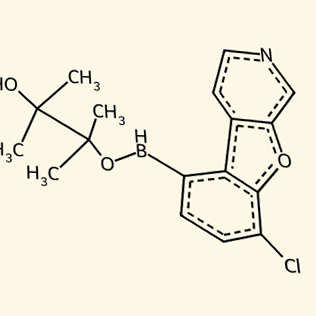 CC(C)(O)C(C)(C)OBc1ccc(Cl)c2oc3cnccc3c12